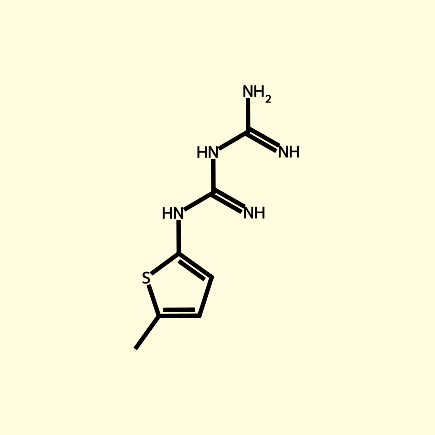 Cc1ccc(NC(=N)NC(=N)N)s1